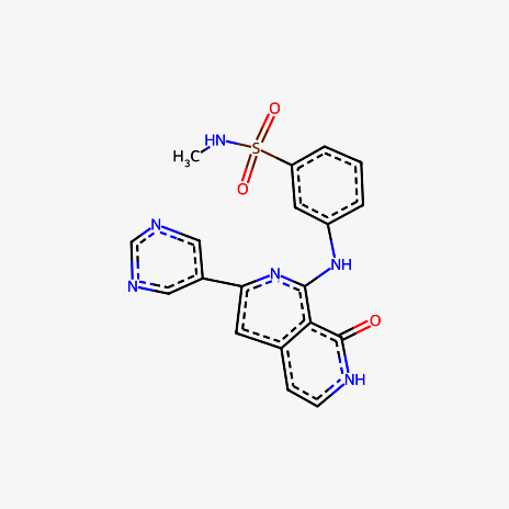 CNS(=O)(=O)c1cccc(Nc2nc(-c3cncnc3)cc3cc[nH]c(=O)c23)c1